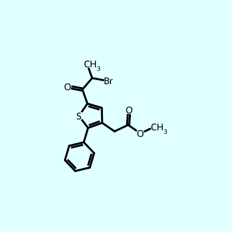 COC(=O)Cc1cc(C(=O)C(C)Br)sc1-c1ccccc1